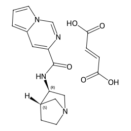 O=C(N[C@H]1CN2CC[C@H]1C2)c1cc2cccn2cn1.O=C(O)C=CC(=O)O